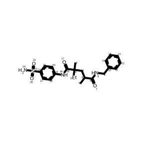 CCC(C)(CC(C)C(=O)NCc1ccccc1)C(=O)Nc1ccc(S(N)(=O)=O)cc1